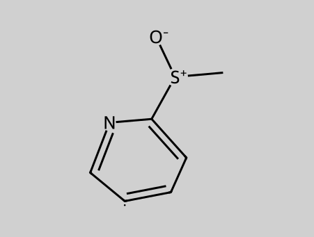 C[S+]([O-])c1cc[c]cn1